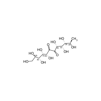 C[C@@H](O)[C@@H](O)[C@H](O)[C@@H](O)C(=O)C(=O)[C@H](O)[C@@H](O)[C@H](O)[C@H](O)CO